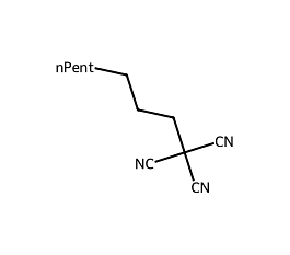 CCCCCCCCC(C#N)(C#N)C#N